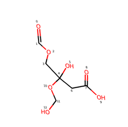 O=COCC(O)(CC(=O)O)OCO